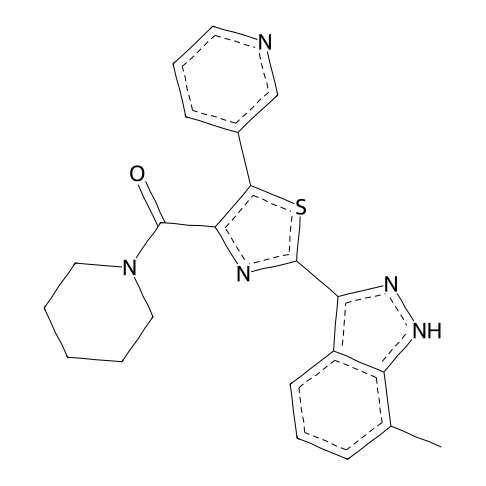 Cc1cccc2c(-c3nc(C(=O)N4CCCCC4)c(-c4cccnc4)s3)n[nH]c12